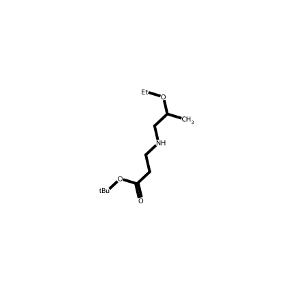 CCOC(C)CNCCC(=O)OC(C)(C)C